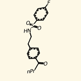 CCCC(=O)c1ccc(CCNS(=O)(=O)c2ccc(F)cc2)cc1